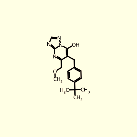 COCc1nc2ncnn2c(O)c1Cc1ccc(C(C)(C)C)cc1